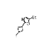 CCc1cnc(C2CC(I)C2)o1